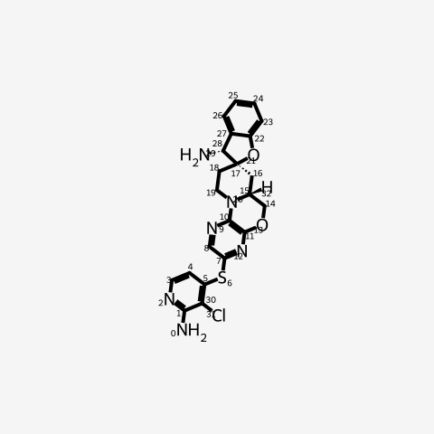 Nc1nccc(Sc2cnc3c(n2)OC[C@H]2C[C@@]4(CCN32)Oc2ccccc2[C@H]4N)c1Cl